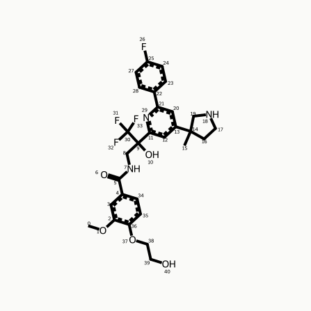 COc1cc(C(=O)NCC(O)(c2cc(C3(C)CCNC3)cc(-c3ccc(F)cc3)n2)C(F)(F)F)ccc1OCCO